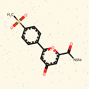 CNC(=O)c1cc(=O)cc(-c2ccc(S(C)(=O)=O)cc2)o1